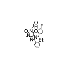 CCc1ccccc1-c1nc2c(c(=O)n(CCCO)c(=O)n2C)n1CC1=CC=C(F)CC1